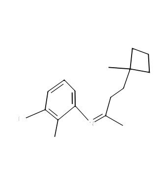 CCCc1cccc(/N=C(/C)CCC2(C)CCC2)c1C